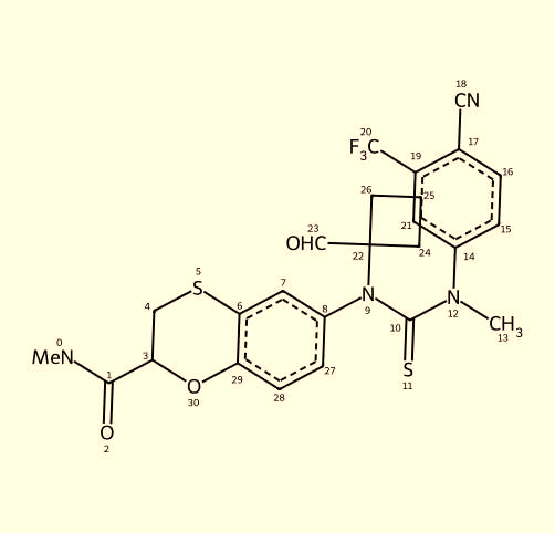 CNC(=O)C1CSc2cc(N(C(=S)N(C)c3ccc(C#N)c(C(F)(F)F)c3)C3(C=O)CCC3)ccc2O1